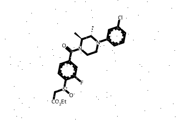 CCOC(=O)C[S+]([O-])c1ccc(C(=O)N2CCN(c3cccc(Cl)c3)[C@@H](C)[C@@H]2C)cc1F